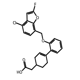 O=C(O)CC1CC=C(c2ccccc2OCc2ccc(Cl)c3cc(F)oc23)CC1